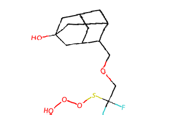 OOOSC(F)(F)COCC1C2CC3CC1CC(O)(C3)C2